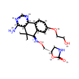 CC1(C)/C(=N/OC[C@@H]2CNC(=O)O2)c2cc(OCCO)ccc2-c2ncnc(N)c21